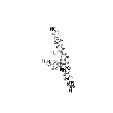 Cc1nc(C(=O)NC2CCC(O)CC2)ccc1-c1ccc(C[C@H](NC(=O)C2CCC(CN)CC2)C(=O)Nc2ccc(-c3nn[nH]n3)cc2)cc1